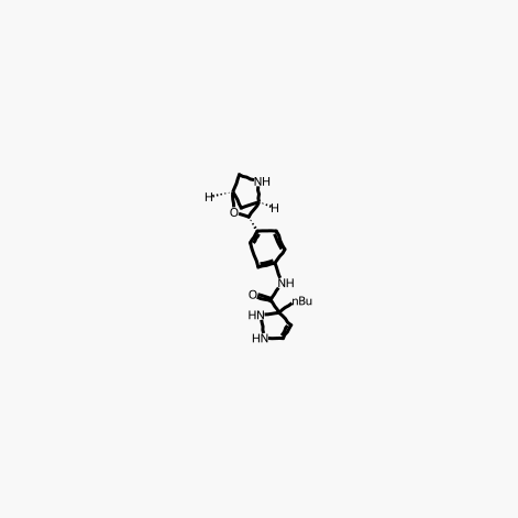 CCCCC1(C(=O)Nc2ccc([C@@H]3O[C@H]4CN[C@@H]3C4)cc2)C=CNN1